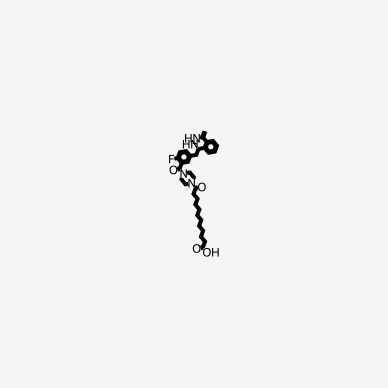 C=C1NNC(Cc2ccc(F)c(C(=O)N3CCN(C(=O)CCCCCCCCCCC(=O)O)CC3)c2)c2ccccc21